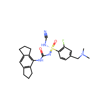 CN(C)Cc1ccc([S@](=O)(=NC(=O)Nc2c3c(cc4c2CCC4)CCC3)NC#N)c(F)c1